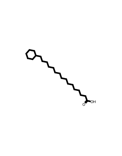 O=C(O)CCCCCCCCCCCCCCCC1CCCCC1